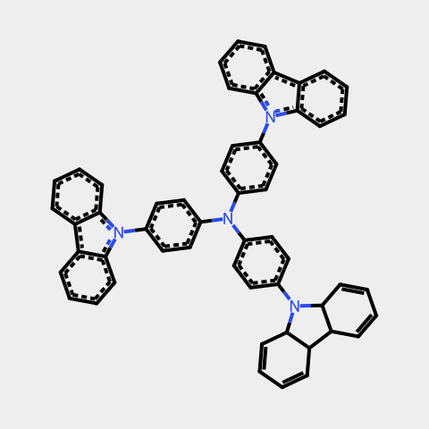 C1=CC2C3C=CC=CC3N(c3ccc(N(c4ccc(-n5c6ccccc6c6ccccc65)cc4)c4ccc(-n5c6ccccc6c6ccccc65)cc4)cc3)C2C=C1